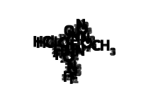 C[C@@H]1C[C@H](N)CN(c2ccncc2NC(=O)c2ccc(F)c(-c3c(F)cc(N4CCC(F)(F)C4)cc3F)c2F)C1.Cl.Cl